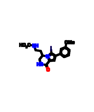 COc1cccc(-c2cc3n(c2I)C(CCNC(=O)O)CNC3=O)c1